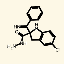 N=C(c1ccccc1)C1(C(=O)NN)Cc2cc(Cl)ccc2N1